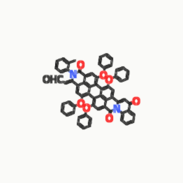 Cc1ccccc1-n1c(=O)c2cc(Oc3ccccc3)c3c4c(Oc5ccccc5)cc5c6c(cc(Oc7ccccc7)c(c7c(Oc8ccccc8)cc(/c1=C/C=O)c2c73)c46)c(=O)n1c2ccccc2c(=O)cc51